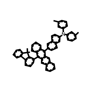 Cc1cccc(N(c2cccc(C)c2)c2ccc3cc(-c4c5ccccc5c(-c5cccc6c5C(C)(C)c5ccccc5-6)c5cc6ccccc6cc45)ccc3c2)c1